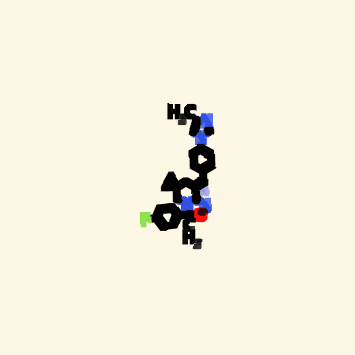 Cc1cn(-c2ccc(/C=C3\CC4(CC4)CN4C3=NOC4(C)c3ccc(F)cc3)cc2)cn1